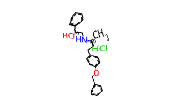 C[C@H](CCc1ccc(OCc2ccccc2)cc1)NC[C@H](O)c1ccccc1.Cl